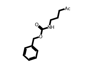 CC(=O)CCCNC(=O)OCc1ccccc1